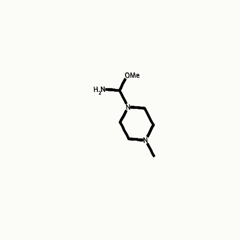 COC(N)N1CCN(C)CC1